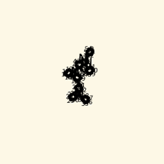 c1ccc(-c2nc3c4c(c(-n5c6ccccc6c6cc(-c7ccc8c(c7)c7ccccc7n8-c7ccccc7)ccc65)ccc4n2)Sc2ccccc2-3)cc1